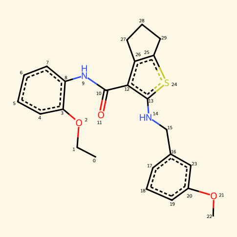 CCOc1ccccc1NC(=O)c1c(NCc2cccc(OC)c2)sc2c1CCC2